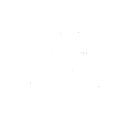 c1cn2cc(-c3ccc4cn[nH]c4c3)nc(Nc3ccc4scnc4c3)c2n1